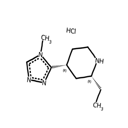 CC[C@@H]1C[C@H](c2nncn2C)CCN1.Cl